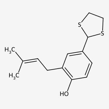 CC(C)=CCc1cc(C2SCCS2)ccc1O